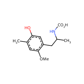 COc1cc(C)c(O)cc1CC(C)NC(=O)O